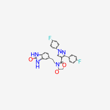 O=C1CO[C@H](c2cn(-c3ccc(F)cc3)nc2-c2ccc(F)cc2)N1CCc1ccc2[nH]c(=O)[nH]c2c1